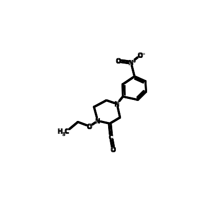 CCON1CCN(c2cccc([N+](=O)[O-])c2)CC1=C=O